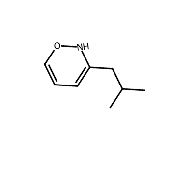 CC(C)CC1=CC=CON1